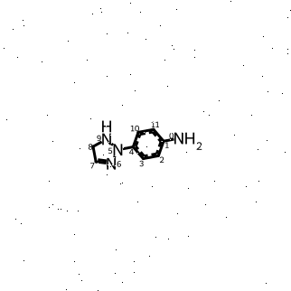 Nc1ccc(N2N=CCN2)cc1